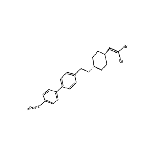 CCCCCc1ccc(-c2ccc(CC[C@H]3CC[C@H](C=C(Br)Br)CC3)cc2)cc1